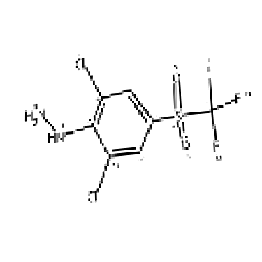 NNc1c(Cl)cc(S(=O)(=O)C(F)(F)F)cc1Cl